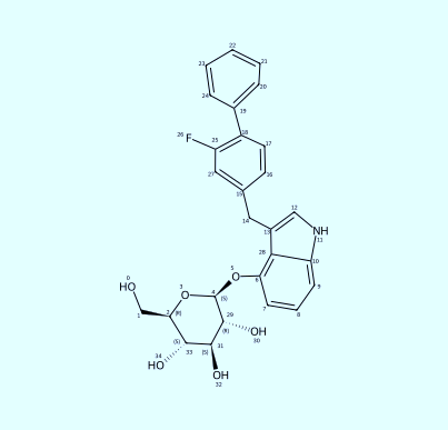 OC[C@H]1O[C@@H](Oc2cccc3[nH]cc(Cc4ccc(-c5ccccc5)c(F)c4)c23)[C@H](O)[C@@H](O)[C@@H]1O